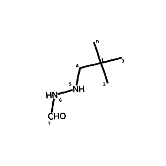 CC(C)(C)CNNC=O